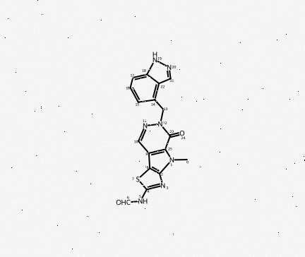 Cn1c2nc(NC=O)sc2c2cnn(Cc3cccc4[nH]ncc34)c(=O)c21